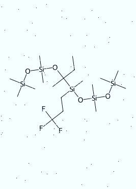 CCC(C)(O[Si](C)(C)O[Si](C)(C)C)[Si](C)(CCC(F)(F)F)O[Si](C)(C)O[Si](C)(C)C